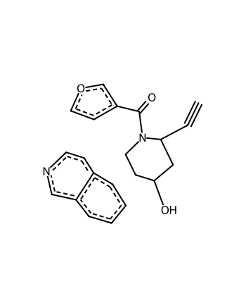 C#CC1CC(O)CCN1C(=O)c1ccoc1.c1ccc2cnccc2c1